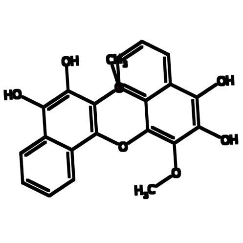 COc1c(O)c(O)c2ccccc2c1Oc1c(OC)c(O)c(O)c2ccccc12